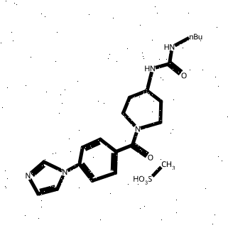 CCCCNC(=O)NC1CCN(C(=O)c2ccc(-n3ccnc3)cc2)CC1.CS(=O)(=O)O